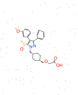 COc1cccc(-c2c(-c3ccccc3)nn(C[C@H]3CC[C@@H](COCC(=O)O)CC3)c2[S+](C)[O-])c1